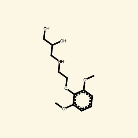 COc1cccc(OC)c1OCCNCC(O)CO